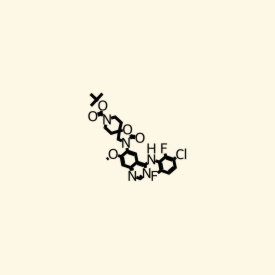 COc1cc2ncnc(Nc3c(F)ccc(Cl)c3F)c2cc1N1CC2(CCN(C(=O)OC(C)(C)C)CC2)OC1=O